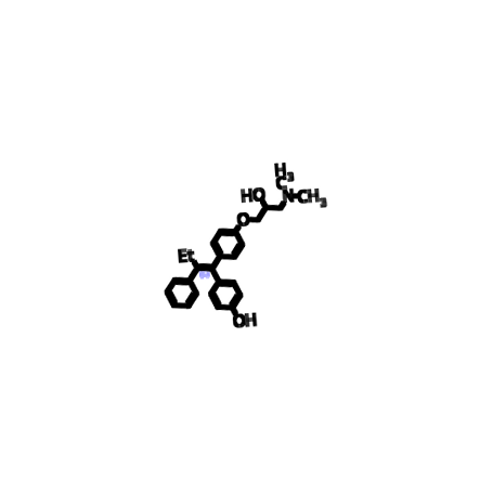 CC/C(=C(/c1ccc(O)cc1)c1ccc(OCC(O)CN(C)C)cc1)c1ccccc1